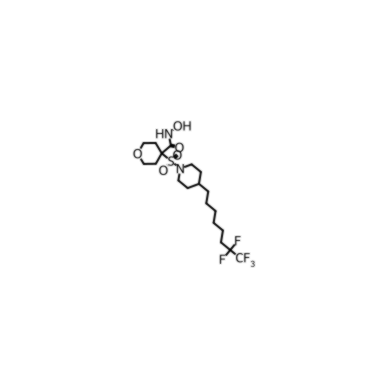 O=C(NO)C1(S(=O)(=O)N2CCC(CCCCCCC(F)(F)C(F)(F)F)CC2)CCOCC1